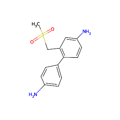 CS(=O)(=O)Cc1cc(N)ccc1-c1ccc(N)cc1